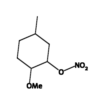 COC1CCC(C)CC1O[N+](=O)[O-]